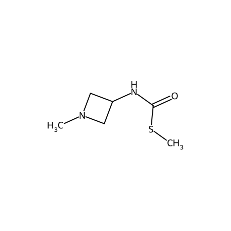 CSC(=O)NC1CN(C)C1